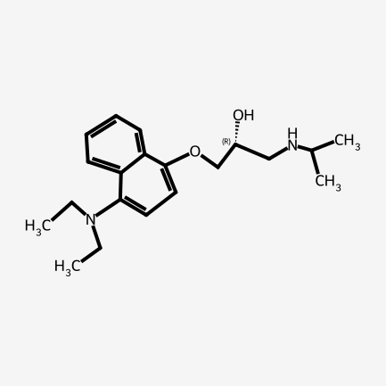 CCN(CC)c1ccc(OC[C@H](O)CNC(C)C)c2ccccc12